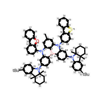 Cc1cc2c3c(c1)N(c1cccc4c1oc1ccccc14)c1cc(N4c5ccc(C(C)(C)C)cc5C5(C)CCCCC45C)ccc1B3c1ccc(N3c4ccc(C(C)(C)C)cc4C4(C)CCCCC34C)cc1N2c1ccc2sc3ccccc3c2c1